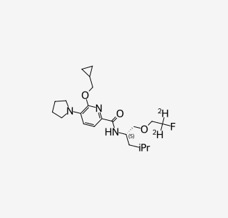 [2H]C([2H])(F)COC[C@H](CC(C)C)NC(=O)c1ccc(N2CCCC2)c(OCC2CC2)n1